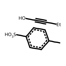 CCC#CO.Cc1ccc(S(=O)(=O)O)cc1